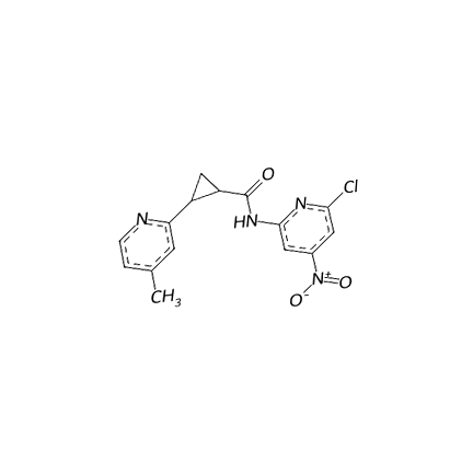 Cc1ccnc(C2CC2C(=O)Nc2cc([N+](=O)[O-])cc(Cl)n2)c1